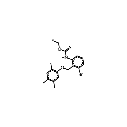 Cc1cc(C)c(OCc2c(Br)cccc2NC(=S)OCF)cc1C